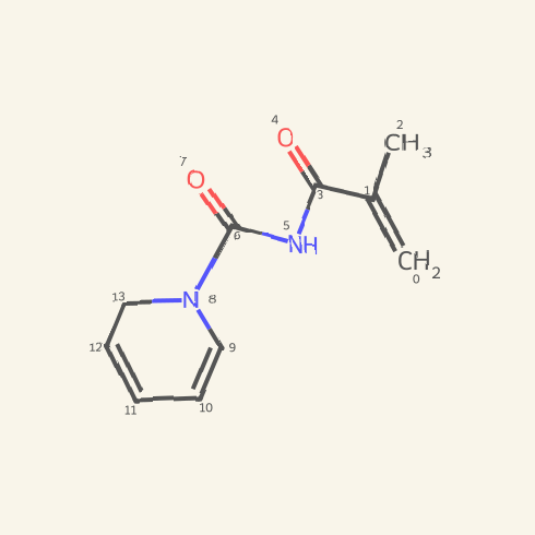 C=C(C)C(=O)NC(=O)N1C=CC=CC1